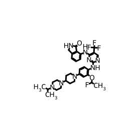 CC(F)Oc1cc(N2CCC(N3CCN(C(C)C)CC3)CC2)ccc1Nc1ncc(C(F)(F)F)c(Nc2cccc3c2C(=O)NC3)n1